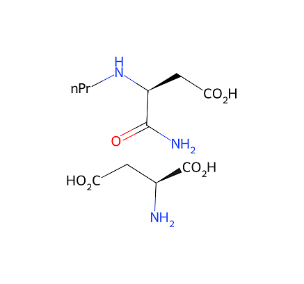 CCCN[C@@H](CC(=O)O)C(N)=O.N[C@@H](CC(=O)O)C(=O)O